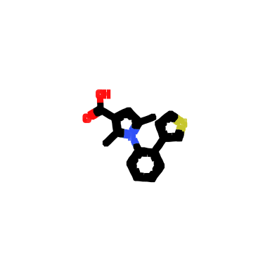 Cc1cc(C(=O)O)c(C)n1-c1ccccc1-c1ccsc1